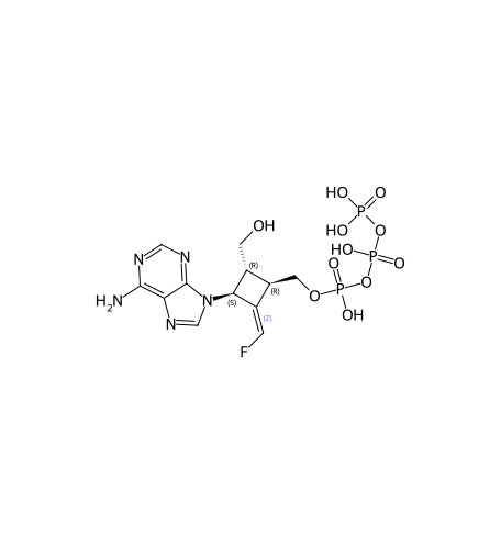 Nc1ncnc2c1ncn2[C@@H]1/C(=C\F)[C@H](COP(=O)(O)OP(=O)(O)OP(=O)(O)O)[C@H]1CO